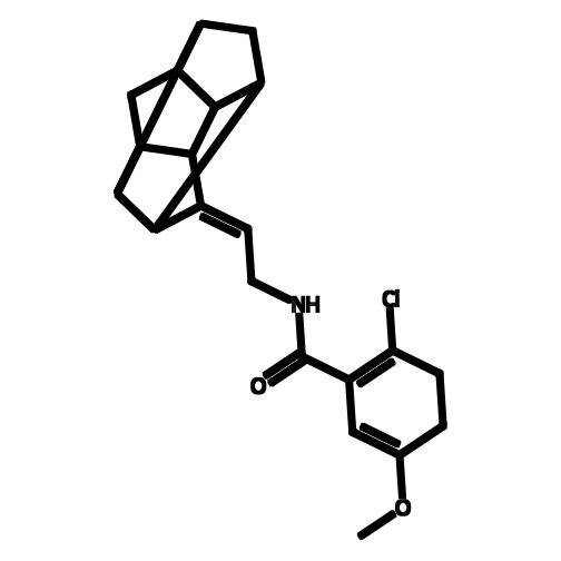 COC1=CC(C(=O)NCC=C2C3C4CC5C6CC(C2C64)C53)=C(Cl)CC1